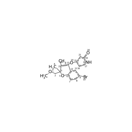 COCC1(C)Oc2ccc(Br)cc2C(Oc2cc[nH]c(=O)c2)=C1C